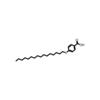 CCCCCCCCCCCCCCCCSc1ccc(C(=O)O)cc1